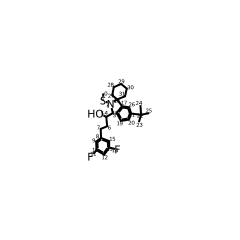 CSN(CC(O)CCc1cc(F)cc(F)c1)C1(c2cccc(C(C)(C)C)c2)CCCCC1